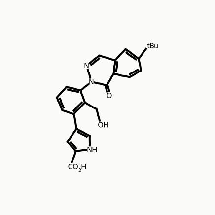 CC(C)(C)c1ccc2c(=O)n(-c3cccc(-c4c[nH]c(C(=O)O)c4)c3CO)ncc2c1